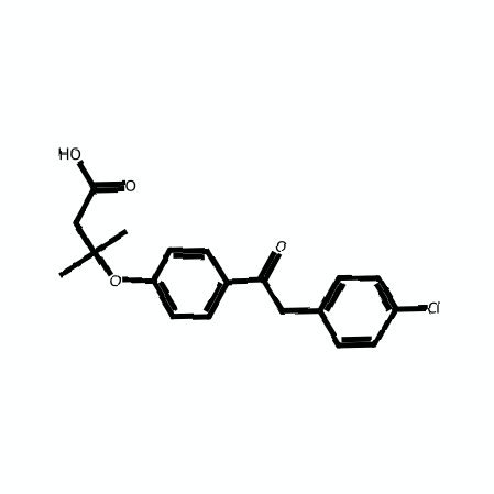 CC(C)(CC(=O)O)Oc1ccc(C(=O)Cc2ccc(Cl)cc2)cc1